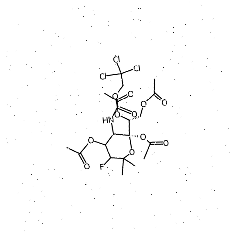 CC(=O)OC[C@@H](OC(C)=O)[C@@]1(OC(C)=O)OC(C)(C)C(F)C(OC(C)=O)C1NC(=O)OCC(Cl)(Cl)Cl